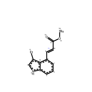 CCc1c[nH]c2cccc(/C=C/C(=O)OC(C)(C)C)c12